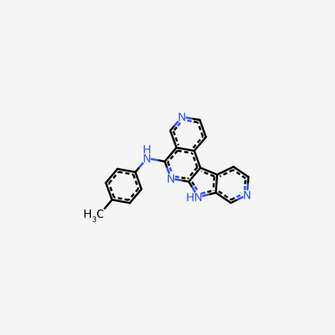 Cc1ccc(Nc2nc3[nH]c4cnccc4c3c3ccncc23)cc1